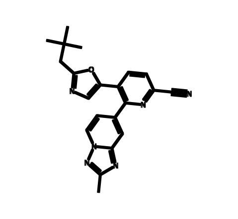 Cc1nc2cc(-c3nc(C#N)ccc3-c3cnc(CC(C)(C)C)o3)ccn2n1